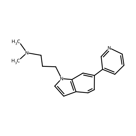 CN(C)CCCn1ccc2ccc(-c3cccnc3)cc21